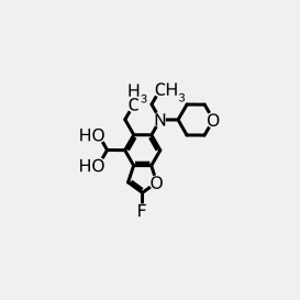 CCc1c(N(CC)C2CCOCC2)cc2oc(F)cc2c1C(O)O